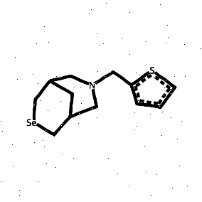 c1csc(CN2CC3C[Se]CC(C3)C2)c1